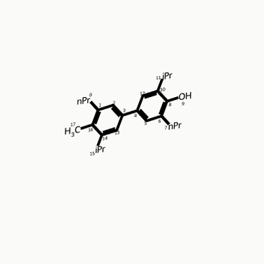 CCCc1cc(-c2cc(CCC)c(O)c(C(C)C)c2)cc(C(C)C)c1C